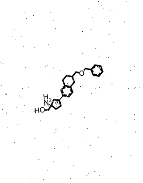 N[C@@]1(CO)CC[C@H](c2ccc3c(c2)CCC(COCc2ccccc2)C3)C1